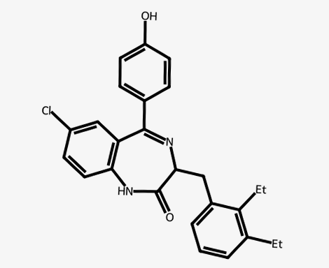 CCc1cccc(CC2N=C(c3ccc(O)cc3)c3cc(Cl)ccc3NC2=O)c1CC